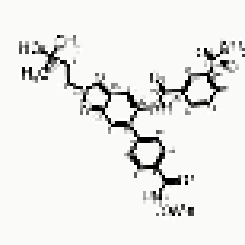 CONC(=O)c1ccc(-c2cc3nn(CCC(C)(C)O)cc3cc2NC(=O)c2cccc(S(N)(=O)=O)c2)cc1